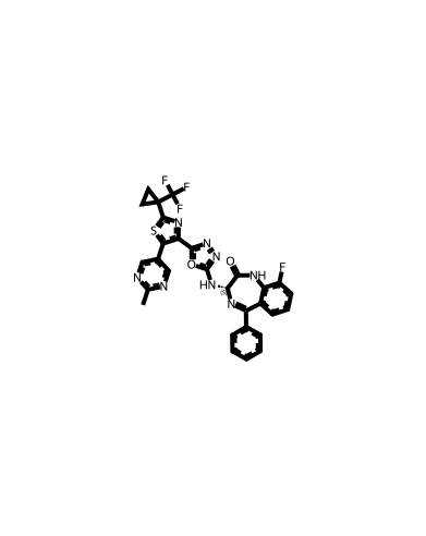 Cc1ncc(-c2sc(C3(C(F)(F)F)CC3)nc2-c2nnc(N[C@H]3N=C(c4ccccc4)c4cccc(F)c4NC3=O)o2)cn1